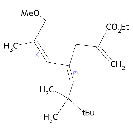 C=C(CC(/C=C(/C)COC)=C/C(C)(C)C(C)(C)C)C(=O)OCC